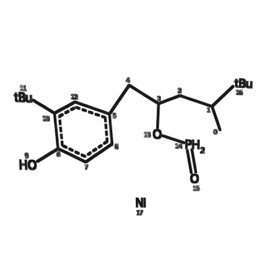 CC(CC(Cc1ccc(O)c(C(C)(C)C)c1)O[PH2]=O)C(C)(C)C.[Ni]